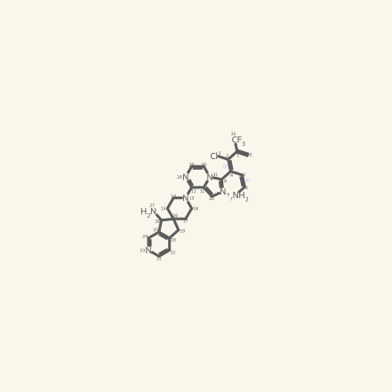 C=C(/C(Cl)=C(\C=C/N)c1ncc2c(N3CCC4(CC3)Cc3ccncc3C4N)nccn12)C(F)(F)F